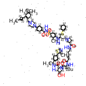 Cc1cc(S(=O)(=O)NC(=O)c2ccc(N3CCN(CC4=C(C56CC(C)(C5)C6)CC(C)(C)CC4)CC3)cc2)ccc1N[C@H](CCN1CC[C@@H](C(=O)NCCCCCC(=O)N[C@H](C(=O)N2C[C@H](O)C[C@H]2C(=O)N[C@@H](C)c2ccc(-c3scnc3C)cc2)C(C)(C)C)C1)CSc1ccccc1